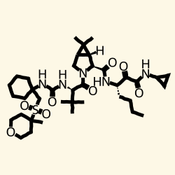 CCCC[C@H](NC(=O)[C@@H]1[C@@H]2C(CN1C(=O)[C@@H](NC(=O)NC1(CS(=O)(=O)C3(C)CCOCC3)CCCCC1)C(C)(C)C)C2(C)C)C(=O)C(=O)NC1CC1